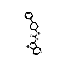 O=C(Nc1c[nH]c2ccncc12)NC1CCC(c2ccccc2)CC1